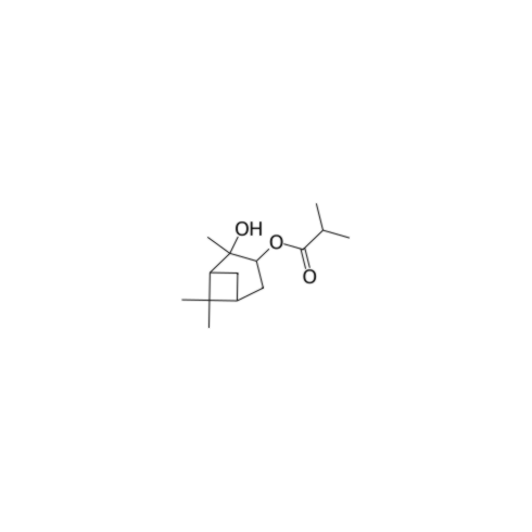 CC(C)C(=O)OC1CC2CC(C2(C)C)C1(C)O